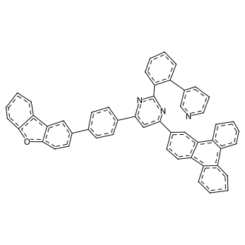 c1cncc(-c2ccccc2-c2nc(-c3ccc(-c4ccc5oc6ccccc6c5c4)cc3)cc(-c3ccc4c5ccccc5c5ccccc5c4c3)n2)c1